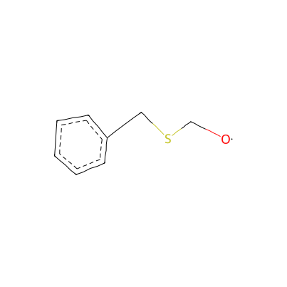 [O]CSCc1ccccc1